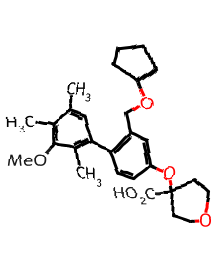 COc1c(C)c(C)cc(-c2ccc(OC3(C(=O)O)CCOCC3)cc2COC2CCCC2)c1C